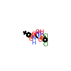 CC(C)(C)c1ccc(S(=O)(=O)NC(CNS(=O)(=O)c2cc(Cl)ccc2Cl)C(=O)NO)cc1